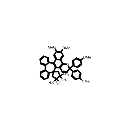 COc1ccc(C2(c3ccc(OC)cc3)C=Cc3c4c(c5cc(OC)c(OC)cc5c3O2)-c2ccccc2-c2ccccc2C42CC(C)(C)C(C)(C)C2)cc1